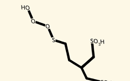 O=S(=O)(O)CC(CCSOOO)CS(=O)(=O)O